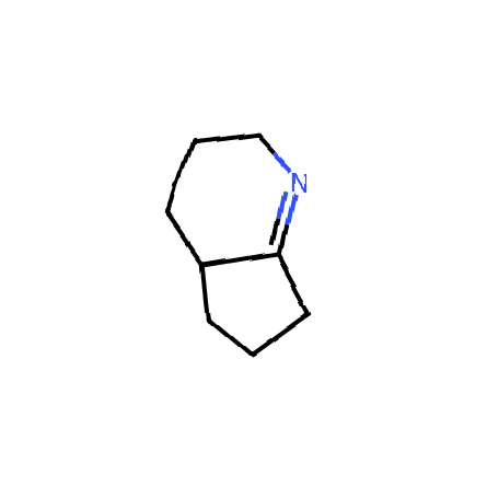 C1CN=C2CCCC2C1